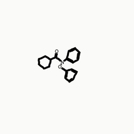 O=C(C1CCCCC1)N(Oc1ccccc1)c1ccccc1